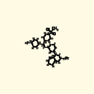 CC(C)c1cc(-c2cccc(/C=C(/c3ccc(F)cc3)c3ccc(S(C)(=O)=O)cc3)c2)c2ncccc2c1